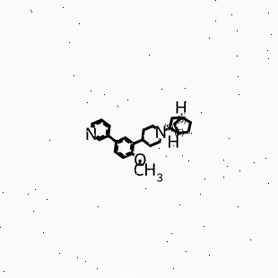 COc1ccc(-c2cccnc2)cc1C1CCN([C@H]2C[C@H]3CC[C@H]2C3)CC1